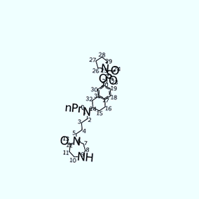 CCCN(CCCCN1CCNCCC1=O)C1CCc2ccc(OS(=O)(=O)N3CCCC3)cc2C1